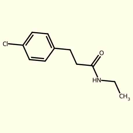 CCNC(=O)CCc1ccc(Cl)cc1